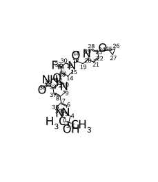 CC(C)(O)Cn1cc(-c2cnc(O[C@H]3CCN(C(=O)Cc4ccc(OC5CC5)cn4)C[C@@H]3F)c(C(N)=O)c2)cn1